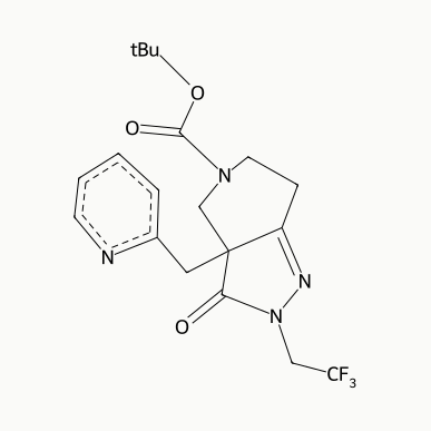 CC(C)(C)OC(=O)N1CCC2=NN(CC(F)(F)F)C(=O)C2(Cc2ccccn2)C1